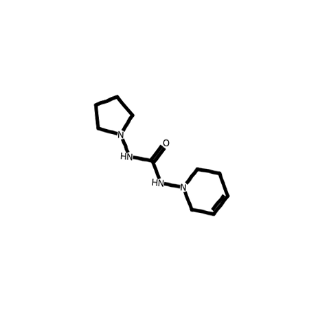 O=C(NN1CC=CCC1)NN1CCCC1